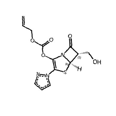 C=CCOC(=O)OC1=C(n2cccn2)S[C@@H]2[C@@H](CO)C(=O)N12